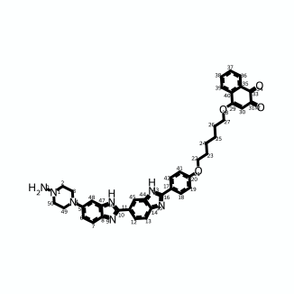 NN1CCN(c2ccc3nc(-c4ccc5nc(-c6ccc(OCCCCCCOC7=CC(=O)C(=O)c8ccccc87)cc6)[nH]c5c4)[nH]c3c2)CC1